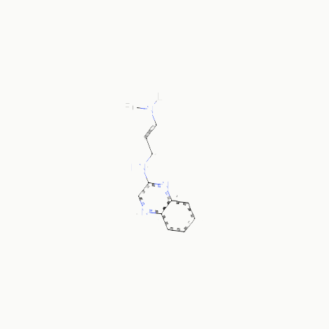 CCN(C=CCNc1cnc2ccccc2n1)CC